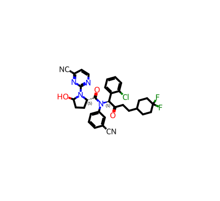 N#Cc1cccc(N(C(=O)[C@@H]2CCC(O)N2c2nccc(C#N)n2)[C@H](C(=O)CCC2CCC(F)(F)CC2)c2ccccc2Cl)c1